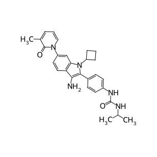 Cc1cccn(-c2ccc3c(N)c(-c4ccc(NC(=O)NC(C)C)cc4)n(C4CCC4)c3c2)c1=O